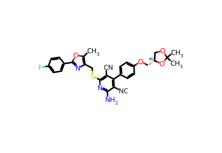 [C-]#[N+]c1c(N)nc(SCc2nc(-c3ccc(F)cc3)oc2C)c(C#N)c1-c1ccc(OC[C@@H]2COC(C)(C)O2)cc1